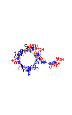 CC(C)C[C@@H]1NC(=O)[C@H](Cc2c[nH]cn2)NC(=O)[C@H](Cc2c[nH]c3ccccc23)NC(=O)[C@H](C)NC(=O)[C@@H](NC(=O)[C@H](CC(=O)O)NC(=O)CCOCc2cn(CCCC[C@H](NC(=O)N[C@@H](CCC(=O)O)C(=O)O)C(=O)O)nn2)CSSC[C@@H](C(=O)N[C@H](C(=O)O)[C@@H](C)O)NC(=O)[C@H](Cc2c[nH]c3ccccc23)NC(=O)[C@H](C(C)C)NC(=O)[C@H](CC(C)C)NC(=O)[C@H](CCC(=O)O)NC(=O)CNC1=O